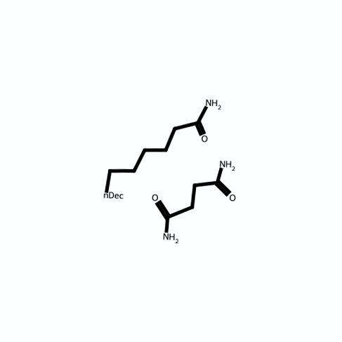 CCCCCCCCCCCCCCCC(N)=O.NC(=O)CCC(N)=O